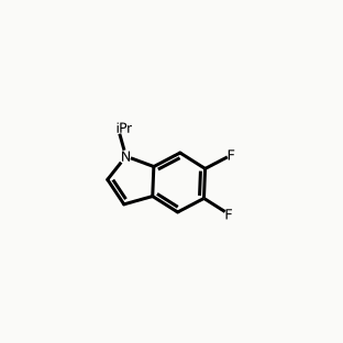 CC(C)n1ccc2cc(F)c(F)cc21